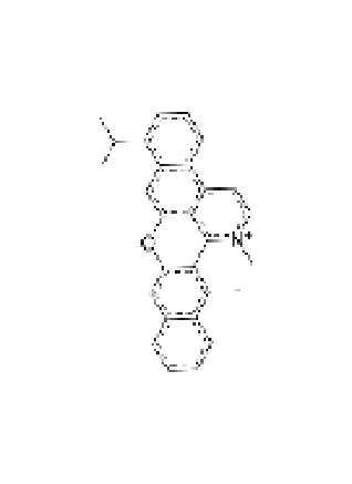 Cc1c2c(cc3ccccc13)Oc1cc3c(C(C)C)cccc3c3cc[n+](C)c-2c13